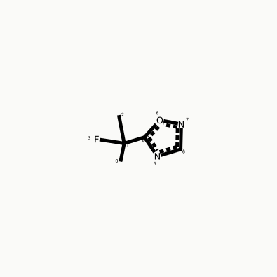 CC(C)(F)c1n[c]no1